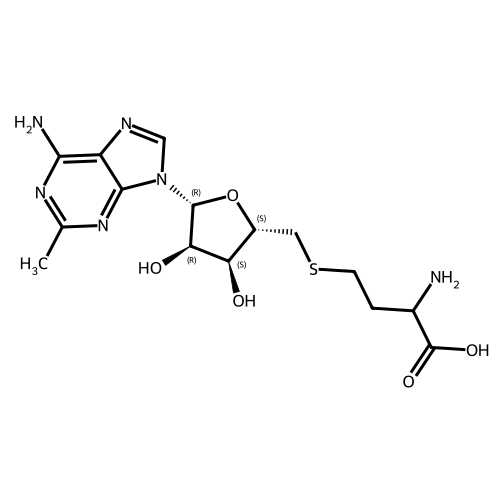 Cc1nc(N)c2ncn([C@@H]3O[C@H](CSCCC(N)C(=O)O)[C@@H](O)[C@H]3O)c2n1